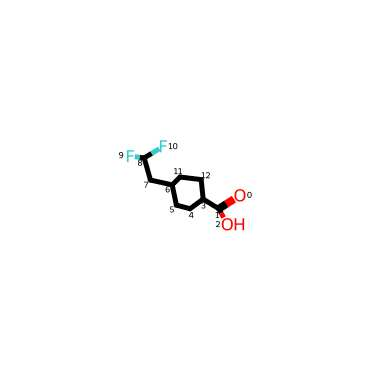 O=C(O)C1CCC(CC(F)F)CC1